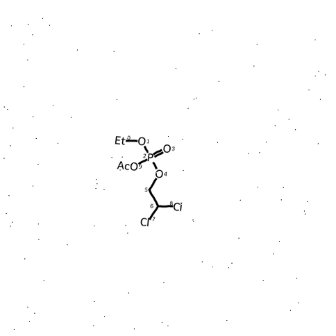 CCOP(=O)(OCC(Cl)Cl)OC(C)=O